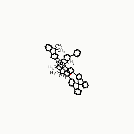 CC(C)CC(c1ccc(-c2ccc3c(c2)C2(c4ccccc4-3)c3ccccc3-c3ccc(-c4ccc5c(c4)C(C)(C)c4ccc(N(c6ccc(-c7ccccc7)cc6)c6ccc7c(c6)C(C)(C)c6ccccc6-7)cc4-5)cc32)cc1)C(C)C